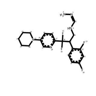 N/N=C\NCC(c1ccc(F)cc1F)C(F)(F)c1ccc(N2CCCCC2)cn1